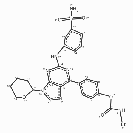 CCNC(=O)Oc1ccc(-c2nc(Nc3cccc(S(N)(=O)=O)c3)nc3c2ncn3C2CCCCO2)cc1